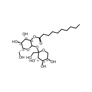 CCCCCCCCCC(=O)O[C@H]1C(OC2(CO)OC[C@@H](O)[C@@H](O)[C@@H]2O)O[C@H](CO)[C@@H](O)[C@@H]1O